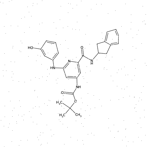 CC(C)(C)OC(=O)Nc1cc(Nc2cccc(O)c2)nc(C(=O)NC2Cc3ccccc3C2)c1